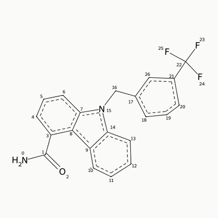 NC(=O)c1cccc2c1c1[c]cccc1n2Cc1cccc(C(F)(F)F)c1